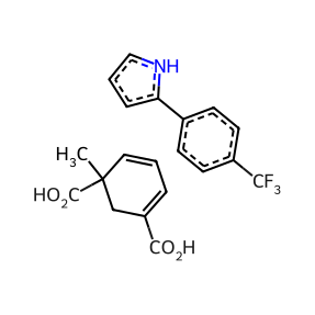 CC1(C(=O)O)C=CC=C(C(=O)O)C1.FC(F)(F)c1ccc(-c2ccc[nH]2)cc1